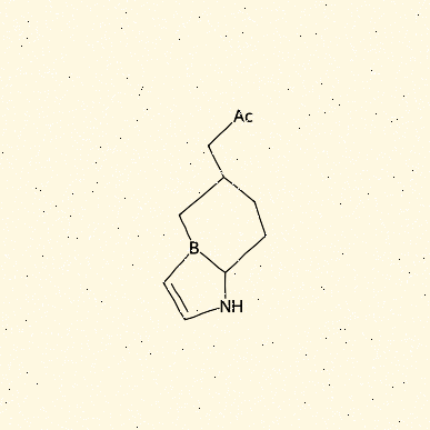 CC(=O)CC1CCC2NC=CB2C1